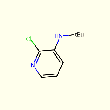 CC(C)(C)Nc1cccnc1Cl